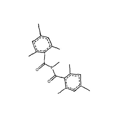 Cc1cc(C)c(C(=O)P(C)C(=O)c2c(C)cc(C)cc2C)c(C)c1